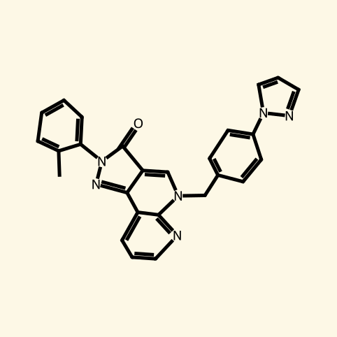 Cc1ccccc1-n1nc2c3cccnc3n(Cc3ccc(-n4cccn4)cc3)cc-2c1=O